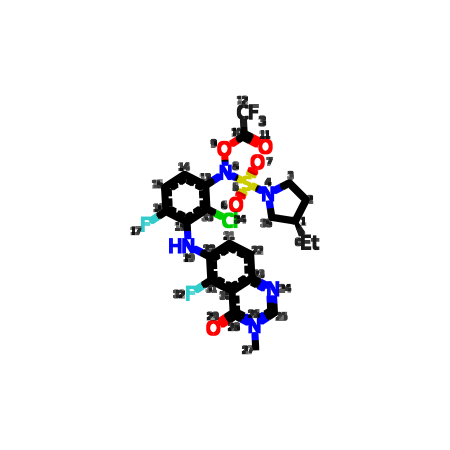 CC[C@@H]1CCN(S(=O)(=O)N(OC(=O)C(F)(F)F)c2ccc(F)c(Nc3ccc4ncn(C)c(=O)c4c3F)c2Cl)C1